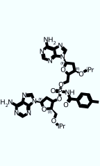 Cc1ccc(C(=O)NP(=O)(OCC2O[C@@H](n3cnc4c(N)ncnc43)C[C@H]2OC(C)C)OC2C[C@H](n3cnc4c(N)ncnc43)O[C@@H]2COC(C)C)cc1